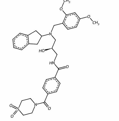 COc1ccc(CN(C[C@H](O)CNC(=O)c2ccc(C(=O)N3CCS(=O)(=O)CC3)cc2)C2Cc3ccccc3C2)c(OC)c1